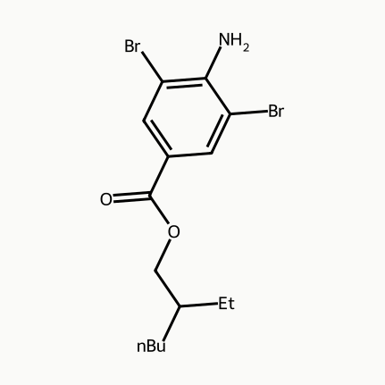 CCCCC(CC)COC(=O)c1cc(Br)c(N)c(Br)c1